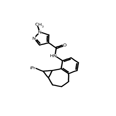 CC(C)C1C2CCCc3cccc(NC(=O)c4cnn(C)c4)c3C21